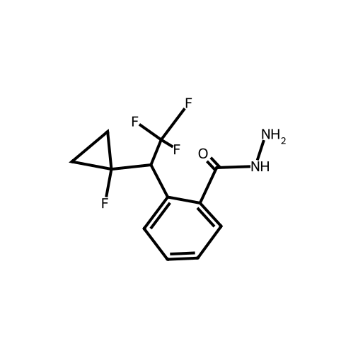 NNC(=O)c1ccccc1C(C(F)(F)F)C1(F)CC1